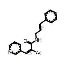 CC(=O)/C(=C/c1cccnc1)C(=O)NC/C=C/c1ccccc1